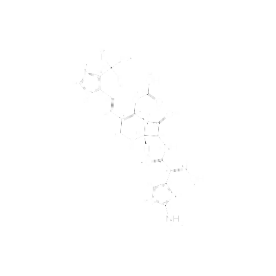 Nc1nc(C(=NO)C(=O)NC2C(=O)N3C(OC(=O)O)=C(C=Cc4scnc4C(F)(F)F)CS[C@@H]23)cs1